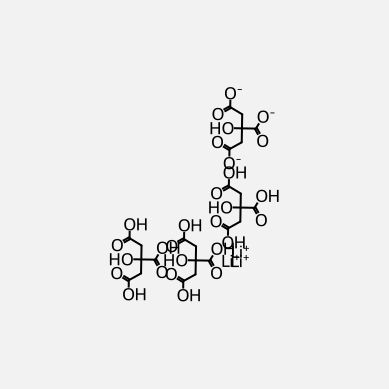 O=C(O)CC(O)(CC(=O)O)C(=O)O.O=C(O)CC(O)(CC(=O)O)C(=O)O.O=C(O)CC(O)(CC(=O)O)C(=O)O.O=C([O-])CC(O)(CC(=O)[O-])C(=O)[O-].[Li+].[Li+].[Li+]